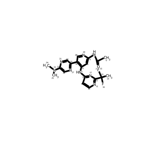 CC(=O)Nc1cc(Nc2ccnc(C(C)(F)F)n2)c(-c2cnc(N(C)C)cn2)cn1